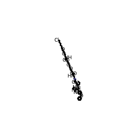 Nc1ncnc2c1c(-c1ccc(Oc3ccccc3)cc1)nn2[C@@H]1CCCN(C(=O)/C=C/CNC(=O)OCCOCCOCCOC(=O)NCCOCCOCCCCCCCl)C1